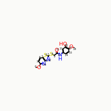 COc1ccc2sc(SCC(=O)Nc3ccc(OC)c(O)c3)nc2n1